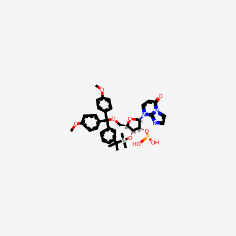 COc1ccc(C(OC[C@H]2O[C@@H](n3ccc(=O)n4ccnc34)[C@H](OP(O)O)[C@@H]2O[Si](C)(C)C(C)(C)C)(c2ccccc2)c2ccc(OC)cc2)cc1